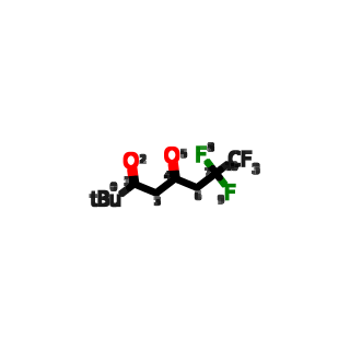 CC(C)(C)C(=O)CC(=O)CC(F)(F)C(F)(F)F